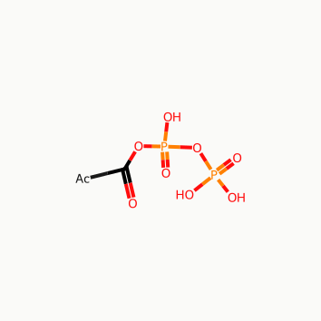 CC(=O)C(=O)OP(=O)(O)OP(=O)(O)O